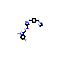 O=C(NCc1n[nH]c2ccc(Cl)cc12)c1cnn(Cc2ccc(Cn3cccn3)cc2)c1